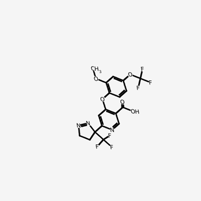 COc1cc(OC(F)(F)F)ccc1Oc1cc(C2(C(F)(F)F)CCN=N2)ncc1C(=O)O